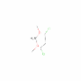 CO[SiH2]OC.ClCCCCl